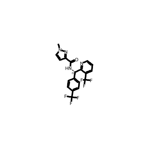 Cn1ccc(C(=O)N[C@@H](c2ccc(C(F)(F)F)cc2)c2ncccc2C(F)(F)F)n1